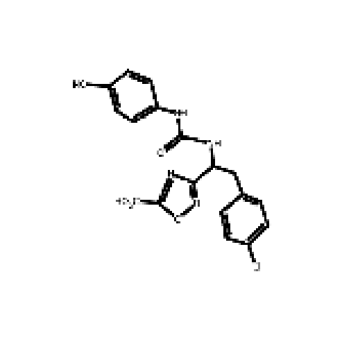 N#Cc1ccc(NC(=O)NC(Cc2ccc(Cl)cc2)c2noc(C(=O)O)n2)cc1